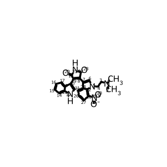 CN(C)CCn1cc(C2=C(c3c[nH]c4ccccc34)C(=O)NC2=O)c2cccc([N+](=O)[O-])c21